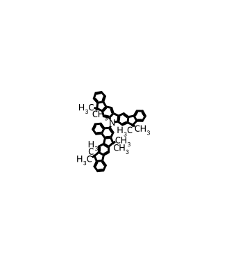 CC1(C)c2ccccc2-c2cc3c(cc21)-c1c(cc(-n2c4cc5c(cc4c4cc6c(cc42)C(C)(C)c2ccccc2-6)-c2ccccc2C5(C)C)c2ccccc12)C3(C)C